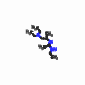 CCN/C(C)=N/C(C)CN(CC)CC